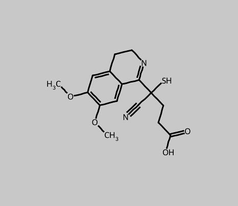 COc1cc2c(cc1OC)C(C(S)(C#N)CCC(=O)O)=NCC2